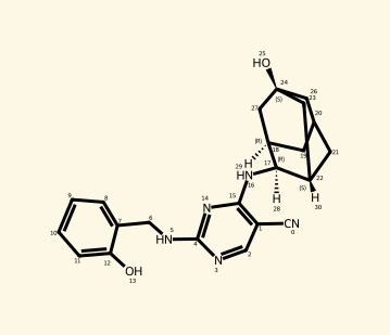 N#Cc1cnc(NCc2ccccc2O)nc1N[C@H]1[C@@H]2CC3C[C@H]1C[C@@](O)(C3)C2